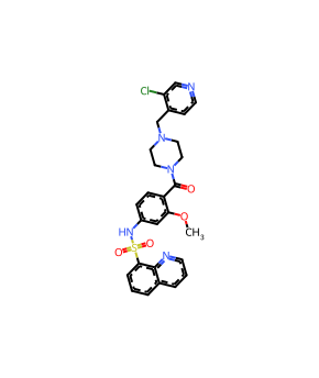 COc1cc(NS(=O)(=O)c2cccc3cccnc23)ccc1C(=O)N1CCN(Cc2ccncc2Cl)CC1